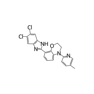 Cc1ccc(N2CCOc3c(-c4nc5cc(Cl)c(Cl)cc5[nH]4)cccc32)nc1